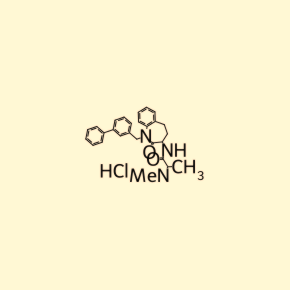 CNC(C)C(=O)NC1CCc2ccccc2N(Cc2cccc(-c3ccccc3)c2)C1=O.Cl